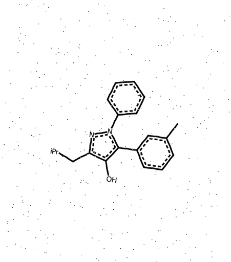 Cc1cccc(-c2c(O)c(CC(C)C)nn2-c2ccccc2)c1